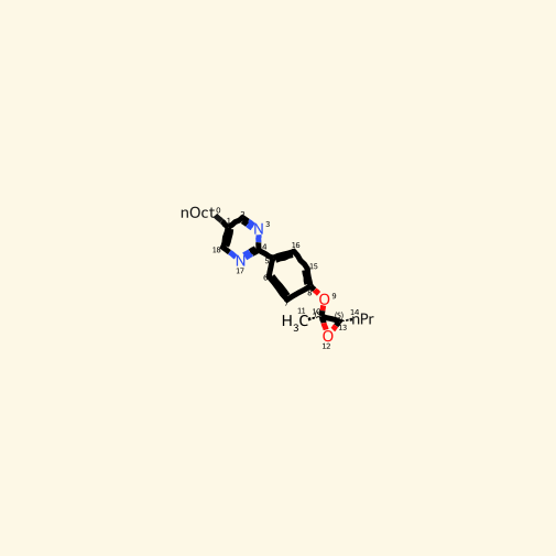 CCCCCCCCc1cnc(-c2ccc(O[C@]3(C)O[C@H]3CCC)cc2)nc1